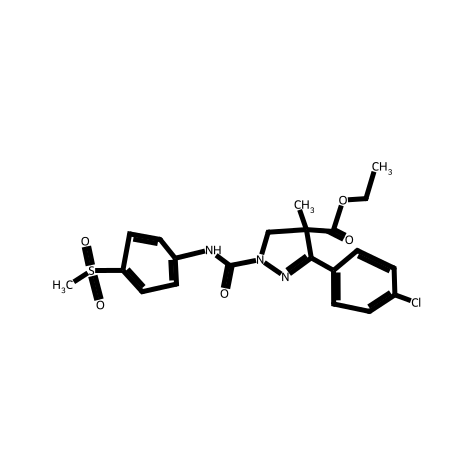 CCOC(=O)C1(C)CN(C(=O)Nc2ccc(S(C)(=O)=O)cc2)N=C1c1ccc(Cl)cc1